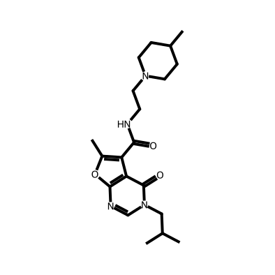 Cc1oc2ncn(CC(C)C)c(=O)c2c1C(=O)NCCN1CCC(C)CC1